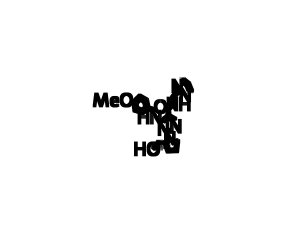 COc1ccc(CNc2nc(N3CCC[C@H]3CO)ncc2C(=O)NCc2ncccn2)cc1